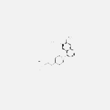 CCOP(=S)(CCC1CCN(c2ncnc3cc(OC)c(OC)cc23)CC1)OCC